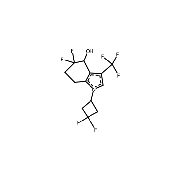 OC1c2c(C(F)(F)F)cn(C3CC(F)(F)C3)c2CCC1(F)F